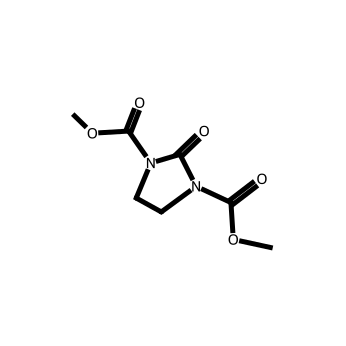 COC(=O)N1CCN(C(=O)OC)C1=O